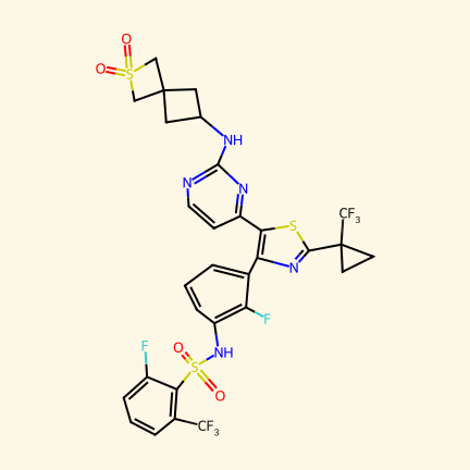 O=S1(=O)CC2(CC(Nc3nccc(-c4sc(C5(C(F)(F)F)CC5)nc4-c4cccc(NS(=O)(=O)c5c(F)cccc5C(F)(F)F)c4F)n3)C2)C1